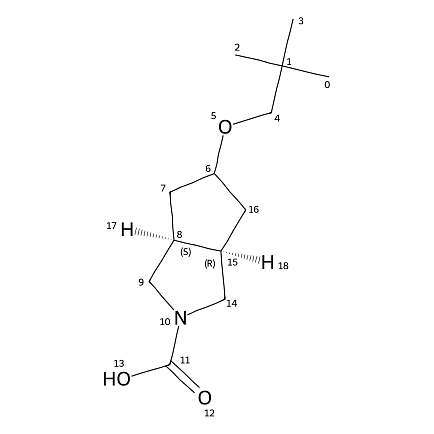 CC(C)(C)COC1C[C@@H]2CN(C(=O)O)C[C@@H]2C1